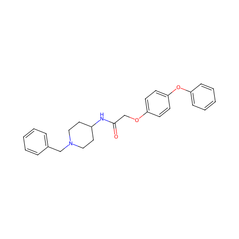 O=C(COc1ccc(Oc2ccccc2)cc1)NC1CCN(Cc2ccccc2)CC1